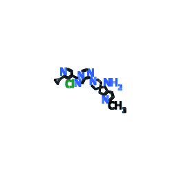 Cc1ccc2c(n1)CC1(CCN(c3nccn4c(-c5ccnc(C6CC6)c5Cl)ncc34)CC1)C2N